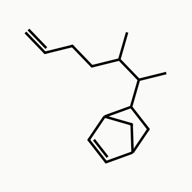 C=CCCC(C)C(C)C1CC2C=CC1C2